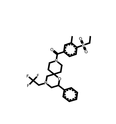 CCS(=O)(=O)c1ccc(C(=O)N2CCC3(CC2)CN(CC(F)(F)F)CC(c2ccccc2)O3)cc1C